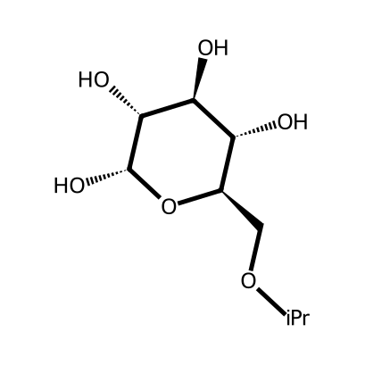 CC(C)OC[C@H]1O[C@H](O)[C@H](O)[C@@H](O)[C@@H]1O